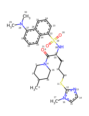 CC1CCN(C(=O)[C@H](CCCSc2nccn2C)NS(=O)(=O)c2cccc3c(N(C)C)cccc23)CC1